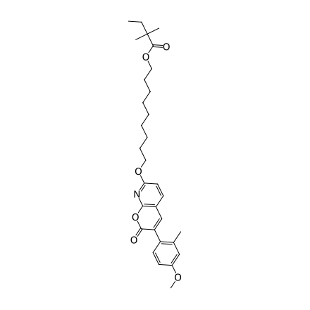 CCC(C)(C)C(=O)OCCCCCCCCCOc1ccc2cc(-c3ccc(OC)cc3C)c(=O)oc2n1